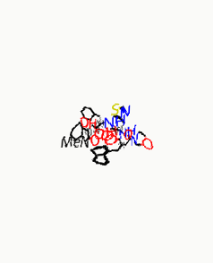 CNC(=O)[C@@H](C[C@H](O)[C@H](CC1CCCCC1)NC(=O)[C@H](Cc1cscn1)NC(=O)[C@@H](CC(=O)N1CCOCC1)Cc1cccc2ccccc12)C1(O)CCCCC1